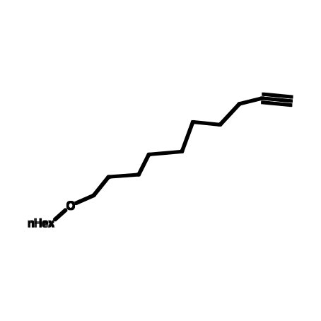 C#CCCCCCCCCOCCCCCC